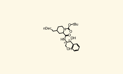 CCCCCCCCCCCC1CCN(C(=O)OC(C)(C)C)C(C(=O)N[C@H](CO)[C@H](O)c2ccccc2)C1